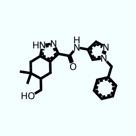 CC1(C)Cc2[nH]nc(C(=O)Nc3cnn(Cc4ccccc4)c3)c2CC1CO